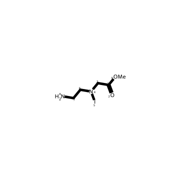 COC(=O)CN(I)CCN